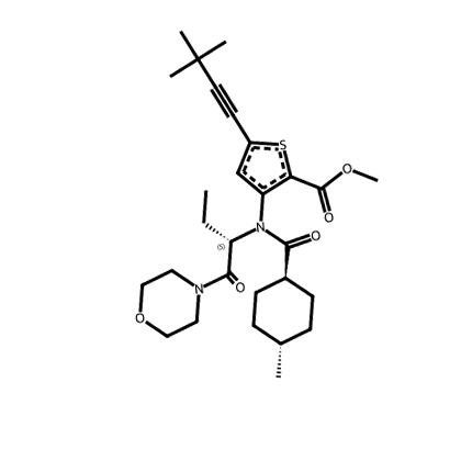 CC[C@@H](C(=O)N1CCOCC1)N(c1cc(C#CC(C)(C)C)sc1C(=O)OC)C(=O)[C@H]1CC[C@H](C)CC1